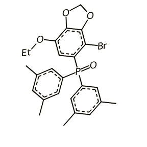 CCOc1cc(P(=O)(c2cc(C)cc(C)c2)c2cc(C)cc(C)c2)c(Br)c2c1OCO2